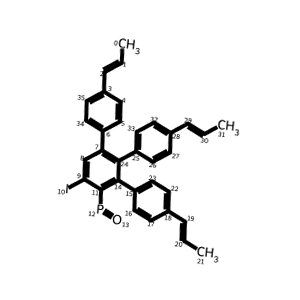 CC=Cc1ccc(-c2cc(I)c(P=O)c(-c3ccc(C=CC)cc3)c2-c2ccc(C=CC)cc2)cc1